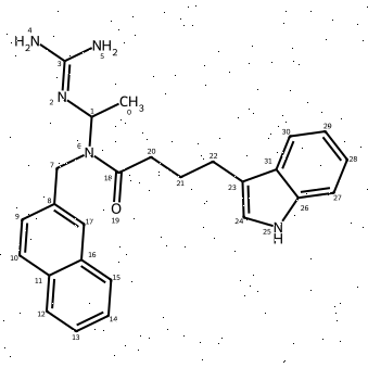 CC(N=C(N)N)N(Cc1ccc2ccccc2c1)C(=O)CCCc1c[nH]c2ccccc12